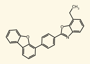 CCc1cccc2nc(-c3ccc(-c4cccc5c4oc4ccccc45)cc3)oc12